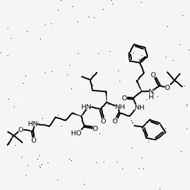 CC(C)CC[C@@H](NC(=O)[C@@H](Cc1ccccc1)NC(=O)[C@@H](CCc1ccccc1)NC(=O)OC(C)(C)C)C(=O)N[C@H](CCCCNC(=O)OC(C)(C)C)C(=O)O